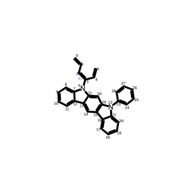 C=C/C=C(\C=C)n1c2ccccc2c2cc3c4ccccc4n(-c4ccccc4)c3cc21